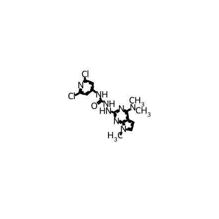 CN(C)c1nc(NNC(=O)Nc2cc(Cl)nc(Cl)c2)nc2c1ccn2C